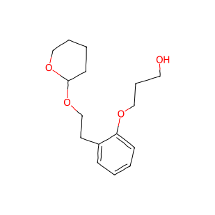 OCCCOc1ccccc1CCOC1CCCCO1